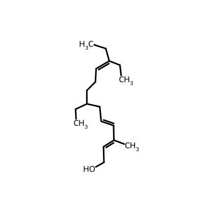 CCC(=CCCC(CC)CC=CC(C)=CCO)CC